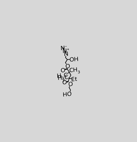 CCC(C)(CC(C)(C)C(=O)OCC(O)CN=[N+]=[N-])C(=O)OCCO